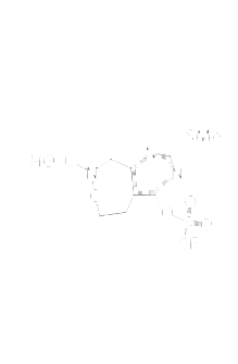 CSc1nc2c(c(OS(=O)(=O)C(F)(F)F)n1)CCCN(C(=O)O)C2